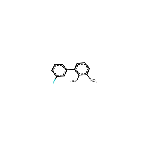 O=[C]c1c(-c2cccc(F)c2)cccc1[N+](=O)[O-]